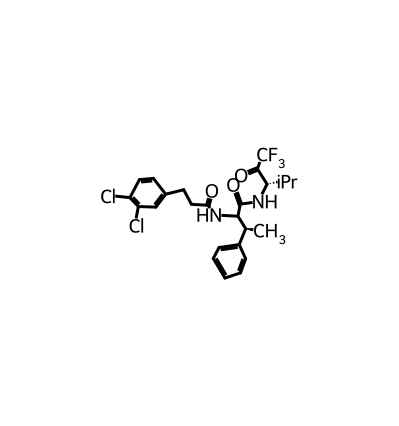 CC(C)[C@H](NC(=O)C(NC(=O)CCc1ccc(Cl)c(Cl)c1)[C@@H](C)c1ccccc1)C(=O)C(F)(F)F